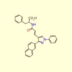 O=C(/C=C/c1cn(-c2ccccc2)nc1-c1ccc2ccccc2c1)N[C@@H](Cc1ccccc1)C(=O)O